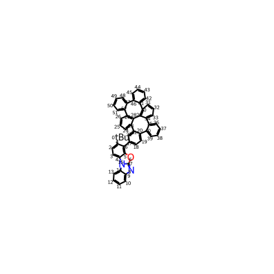 CC(C)(C)c1ccc2c(oc3nc4ccccc4n32)c1-c1ccc2c(c1)c1cccc3c1-c1c(cccc1c1ccccc12)c1ccccc1c1ccccc31